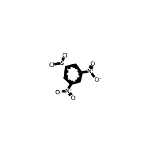 ClSCl.O=[N+]([O-])c1cccc([N+](=O)[O-])c1